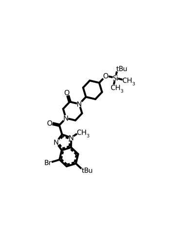 Cn1c(C(=O)N2CCN(C3CCC(O[Si](C)(C)C(C)(C)C)CC3)C(=O)C2)nc2c(Br)cc(C(C)(C)C)cc21